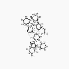 CC(C)Cc1ccc(C2(c3cccc(-c4cccc(-c5nc6ccccc6n5-c5ccccc5)c4)c3)c3ccccc3-c3ccccc32)cc1